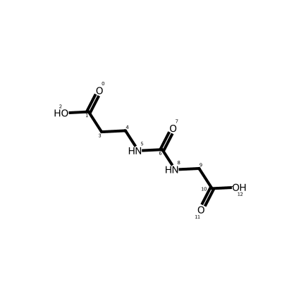 O=C(O)CCNC(=O)NCC(=O)O